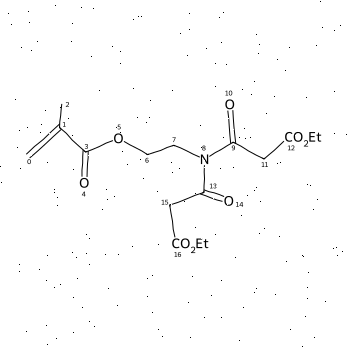 C=C(C)C(=O)OCCN(C(=O)CC(=O)OCC)C(=O)CC(=O)OCC